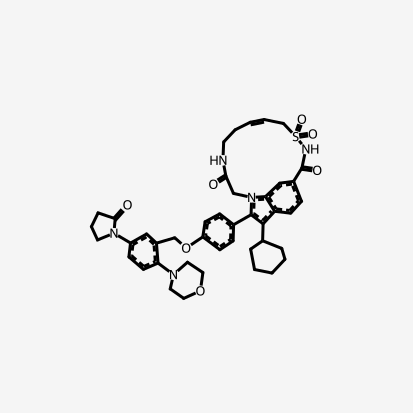 O=C1Cn2c(-c3ccc(OCc4cc(N5CCCC5=O)ccc4N4CCOCC4)cc3)c(C3CCCCC3)c3ccc(cc32)C(=O)NS(=O)(=O)CC=CCCN1